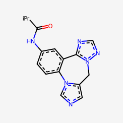 CC(C)C(=O)Nc1ccc2c(c1)-c1ncnn1Cc1cncn1-2